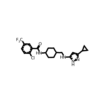 O=C(NC1CCC(CNc2cc(C3CC3)n[nH]2)CC1)c1cc(C(F)(F)F)ccc1Cl